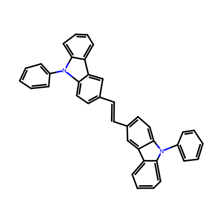 C(=C\c1ccc2c(c1)c1ccccc1n2-c1ccccc1)/c1ccc2c(c1)c1ccccc1n2-c1ccccc1